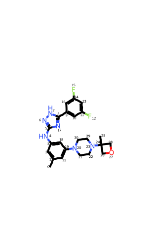 Cc1cc(Nc2n[nH]c(-c3cc(F)cc(F)c3)n2)cc(N2CCN(C3(C)COC3)CC2)c1